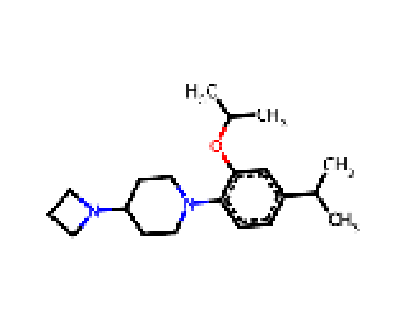 CC(C)Oc1cc(C(C)C)ccc1N1CCC(N2CCC2)CC1